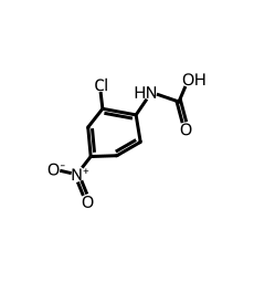 O=C(O)Nc1ccc([N+](=O)[O-])cc1Cl